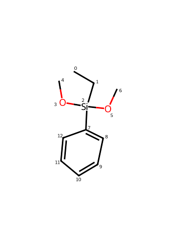 CC[Si](OC)(OC)c1ccccc1